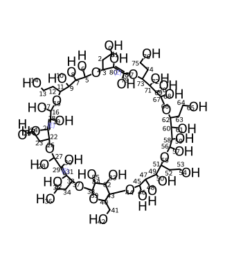 OCCC1OC(O)C(O)C(O)C(CCO)OC(O)/C(O)=C(\O)C(CCO)OC(O)/C(O)=C(\O)C(CCO)OC2OC(CO)C(OC(O)C(O)C(O)C(CCO)OC(O)C(O)C(O)C(CCO)OC(O)C(O)C(O)C(CCO)O/C(O)=C/1O)C(O)C2O